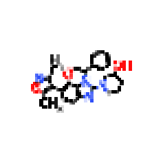 Cc1noc(C)c1-c1ccc2nc(N3CCCC(O)C3)n3c2c1OCC3c1ccccc1